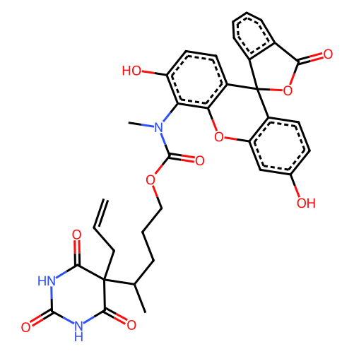 C=CCC1(C(C)CCCOC(=O)N(C)c2c(O)ccc3c2Oc2cc(O)ccc2C32OC(=O)c3ccccc32)C(=O)NC(=O)NC1=O